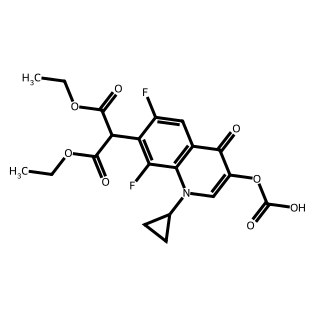 CCOC(=O)C(C(=O)OCC)c1c(F)cc2c(=O)c(OC(=O)O)cn(C3CC3)c2c1F